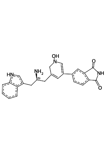 N[C@@H](CC1=CC(c2ccc3c(c2)C(=O)NC3=O)=CN(O)C1)Cc1c[nH]c2ccccc12